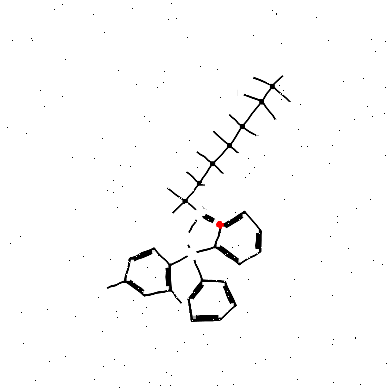 Cc1ccc(S(OS(=O)(=O)C(F)(F)C(F)(F)C(F)(F)C(F)(F)C(F)(F)C(F)(F)C(F)(F)C(F)(F)F)(c2ccccc2)c2ccccc2)c(C)c1